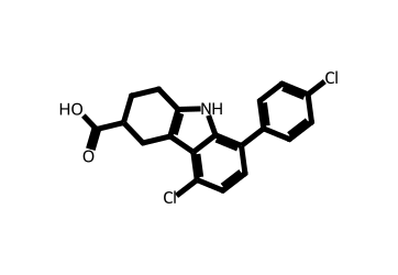 O=C(O)C1CCc2[nH]c3c(-c4ccc(Cl)cc4)ccc(Cl)c3c2C1